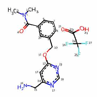 CN(C)C(=O)c1cccc(COc2cc(CN)ncn2)c1.O=C(O)C(F)(F)F